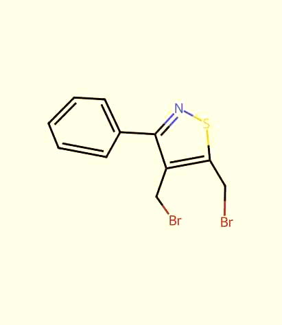 BrCc1snc(-c2ccccc2)c1CBr